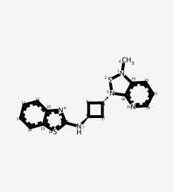 CN1SN([C@H]2C[C@H](Nc3nc4ccccc4s3)C2)c2ncccc21